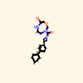 O=C1COCN(C(=O)N2CC(c3ccc(-c4ccccc4)cc3)C2)CCN1